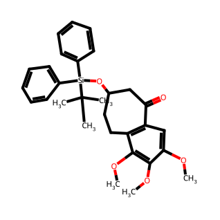 COc1cc2c(c(OC)c1OC)CCC(O[Si](c1ccccc1)(c1ccccc1)C(C)(C)C)CC2=O